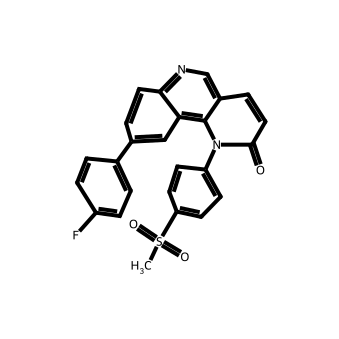 CS(=O)(=O)c1ccc(-n2c(=O)ccc3cnc4ccc(-c5ccc(F)cc5)cc4c32)cc1